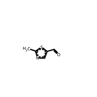 Cc1ncc(C=O)s1